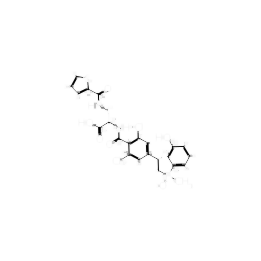 CP(=O)(CCc1cc(Cl)c(C(=O)N[C@@H](CNC(=O)c2cccs2)C(=O)O)c(Cl)c1)c1cccc(O)c1